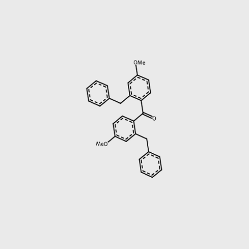 COc1ccc(C(=O)c2ccc(OC)cc2Cc2ccccc2)c(Cc2ccccc2)c1